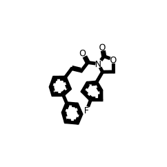 O=C(C=Cc1cccc(-c2ccccc2)c1)N1C(=O)OCC1c1ccc(F)cc1